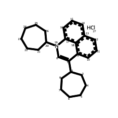 C1=C(C2CCCCCC2)c2cccc3cccc(c23)N1C1CCCCCC1.Cl